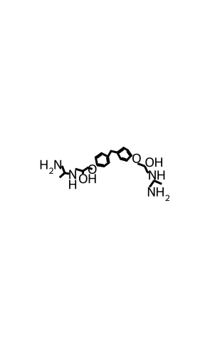 CC(CN)NCC(O)COc1ccc(Cc2ccc(OCC(O)CNC(C)CN)cc2)cc1